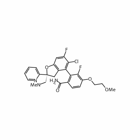 CNC[C@]1(c2ccccn2)Oc2cc(F)c(Cl)c(-c3c(C(N)=O)ccc(OCCOC)c3F)c2[C@@H]1C